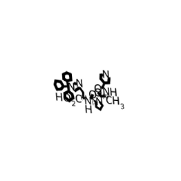 C[C@@H](NC(=O)c1ccncc1)C(=O)N1CCC[C@H]1C(=O)N[C@@H](Cc1cn(C(c2ccccc2)(c2ccccc2)c2ccccc2)cn1)C(=O)O